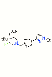 CCn1ccc(-c2ccc(CN3CCC(CC#N)(C(C)(C)C)C(F)C3)cc2)n1